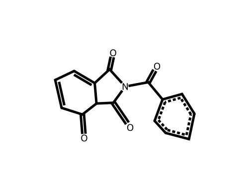 O=C1C=CC=C2C(=O)N(C(=O)c3ccccc3)C(=O)C12